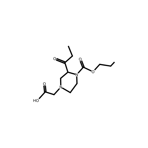 CCCOC(=O)N1CCN(CC(=O)O)CC1C(=O)CC